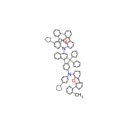 Cc1ccccc1-c1cccc2c1oc1c(N(c3ccc(C4CCCC4)cc3)c3ccc4c(c3)C(c3ccccc3)(c3ccccc3)c3cc(N(c5ccc(C6CCCC6)cc5)c5cccc6c5oc5c(-c7ccccc7C)cccc56)c5ccccc5c3-4)cccc12